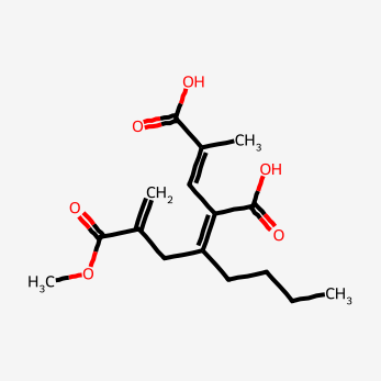 C=C(CC(CCCC)=C(C=C(C)C(=O)O)C(=O)O)C(=O)OC